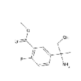 COC(=O)c1cc(C(C)(N)CO)ccc1F